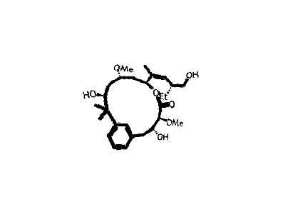 CC[C@H](/C=C(/C)[C@@H]1C[C@@H](OC)C[C@H](O)C(C)(C)c2cccc(c2)C[C@@H](O)[C@H](OC)C(=O)O1)CO